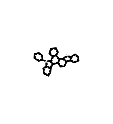 c1ccc(-n2c3ccccc3c3c4ccc5c6ccccc6sc5c4c4ccccc4c32)cc1